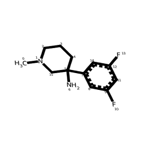 CN1CCCC(N)(c2cc(F)cc(F)c2)C1